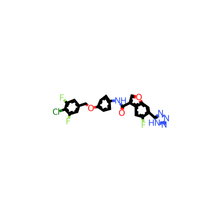 O=C(Nc1ccc(OCc2cc(F)c(Cl)c(F)c2)cc1)c1coc2cc(-c3nnn[nH]3)c(F)cc12